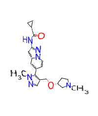 CN1CC[C@@H](OCc2cnn(C)c2-c2ccn3nc(NC(=O)C4CC4)cc3c2)C1